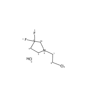 Cl.FC1(F)CCN(CCCl)C1